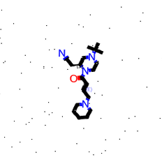 CC(C)(C)N1CCN(C(=O)/C=C/CN2CCCCC2)[C@@H](CC#N)C1